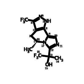 C[C@@H]1Cc2c(C(F)(F)F)n[nH]c2-c2cnc(C(C)(O)C(F)(F)F)n21